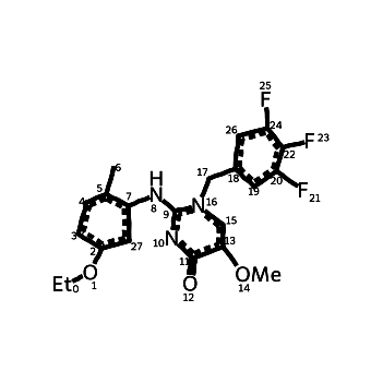 CCOc1ccc(C)c(Nc2nc(=O)c(OC)cn2Cc2cc(F)c(F)c(F)c2)c1